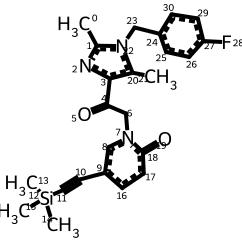 Cc1nc(C(=O)Cn2cc(C#C[Si](C)(C)C)ccc2=O)c(C)n1Cc1ccc(F)cc1